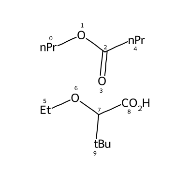 CCCOC(=O)CCC.CCOC(C(=O)O)C(C)(C)C